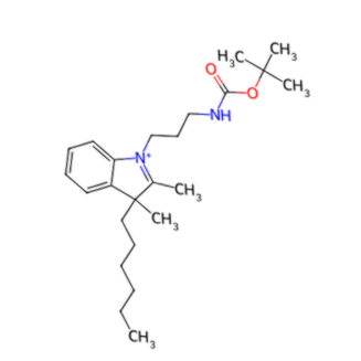 CCCCCCC1(C)C(C)=[N+](CCCNC(=O)OC(C)(C)C)c2ccccc21